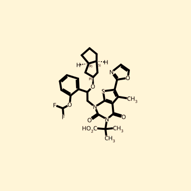 Cc1c(-c2ncco2)sc2c1c(=O)n(C(C)(C)C(=O)O)c(=O)n2CC(O[C@H]1C[C@H]2CCC[C@H]2C1)c1ccccc1OC(F)F